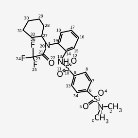 CN(C)S(=O)(=O)c1ccc(S(=O)(=O)Nc2ccccc2N(C(=O)C(F)(F)F)C2CCCCC2)cc1